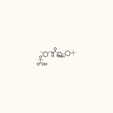 Cc1cc(CNC(=O)c2cc(-c3ccc(C(C)(C)C)cc3)[nH]n2)ccc1OC(C)(C)C(=O)O